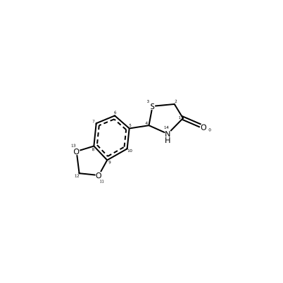 O=C1CSC(c2ccc3c(c2)OCO3)N1